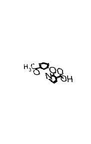 CC(=O)c1cccc(Oc2ncccc2C(=O)O)c1